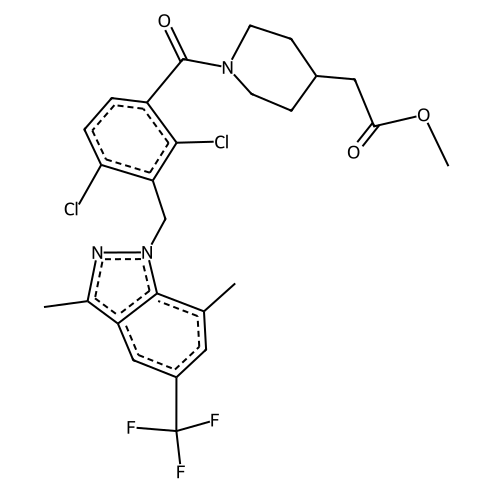 COC(=O)CC1CCN(C(=O)c2ccc(Cl)c(Cn3nc(C)c4cc(C(F)(F)F)cc(C)c43)c2Cl)CC1